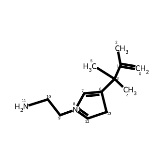 C=C(C)C(C)(C)C1=C[N+](CCN)=CC1